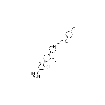 CC[C@H]1CN(c2ncc(-c3ncc[nH]3)cc2Cl)CCN1C1CCN(CCCC(=O)c2ccc(Cl)cc2)CC1